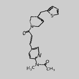 CC(=O)N(C)c1ccc(/C=C/C(=O)N2CC=C(Cc3cccs3)CC2)cn1